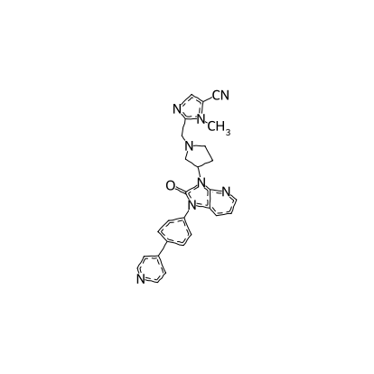 Cn1c(C#N)cnc1CN1CCC(n2c(=O)n(-c3ccc(-c4ccncc4)cc3)c3cccnc32)C1